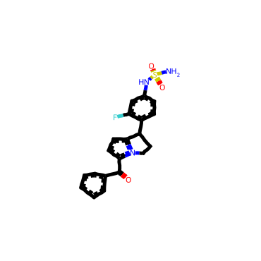 NS(=O)(=O)Nc1ccc(C2CCn3c(C(=O)c4ccccc4)ccc32)c(F)c1